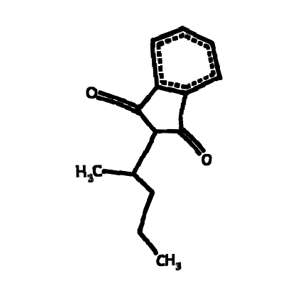 CCCC(C)[C]1C(=O)c2ccccc2C1=O